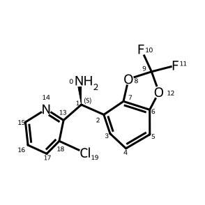 N[C@@H](c1cccc2c1OC(F)(F)O2)c1ncccc1Cl